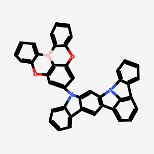 c1ccc2c(c1)Oc1cc(-n3c4ccccc4c4cc5c6cccc7c8ccccc8n(c5cc43)c76)cc3c1B2c1ccccc1O3